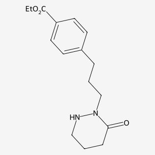 CCOC(=O)c1ccc(CCCN2NCCCC2=O)cc1